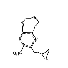 O=Cc1nc2c(nc1CC1CC1)CCCC2